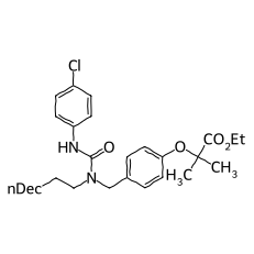 CCCCCCCCCCCCN(Cc1ccc(OC(C)(C)C(=O)OCC)cc1)C(=O)Nc1ccc(Cl)cc1